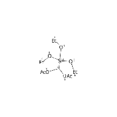 CCO[Si](OCC)(OCC)C(OC(C)=O)OC(C)=O